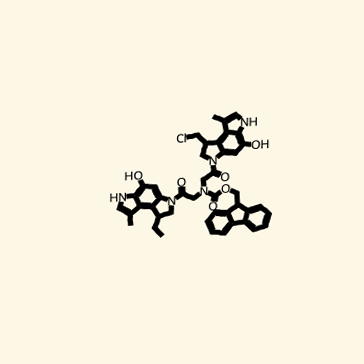 CCC1CN(C(=O)CN(CC(=O)N2CC(CCl)c3c2cc(O)c2[nH]cc(C)c32)C(=O)OCC2c3ccccc3-c3ccccc32)c2cc(O)c3[nH]cc(C)c3c21